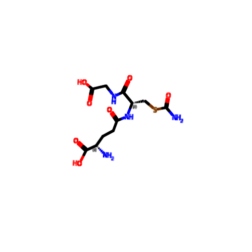 NC(=O)SC[C@H](NC(=O)CC[C@H](N)C(=O)O)C(=O)NCC(=O)O